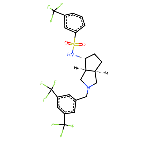 O=S(=O)(N[C@@H]1CC[C@H]2CN(Cc3cc(C(F)(F)F)cc(C(F)(F)F)c3)C[C@H]21)c1cccc(C(F)(F)F)c1